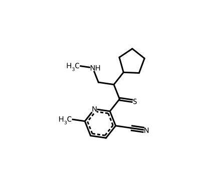 CNCC(C(=S)c1nc(C)ccc1C#N)C1CCCC1